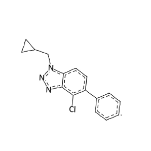 Clc1c(-c2cc[c]cc2)ccc2c1nnn2CC1CC1